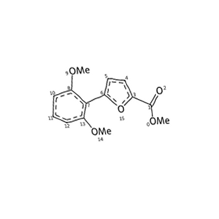 COC(=O)c1ccc(-c2c(OC)cccc2OC)o1